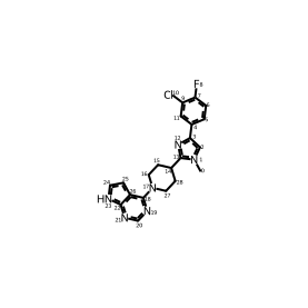 Cn1cc(-c2ccc(F)c(Cl)c2)nc1C1CCN(c2ncnc3[nH]ccc23)CC1